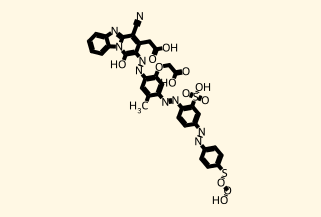 Cc1cc(N=Nc2c(CC(=O)O)c(C#N)c3nc4ccccc4n3c2O)c(OCC(=O)O)cc1N=Nc1ccc(N=Nc2ccc(SOOO)cc2)cc1S(=O)(=O)O